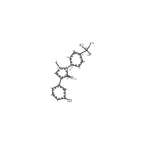 Cn1cc(-c2cccc(Cl)c2)c(=O)n1-c1ccc(C(F)(F)F)cc1